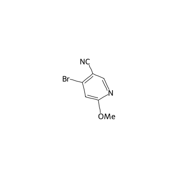 COc1cc(Br)c(C#N)cn1